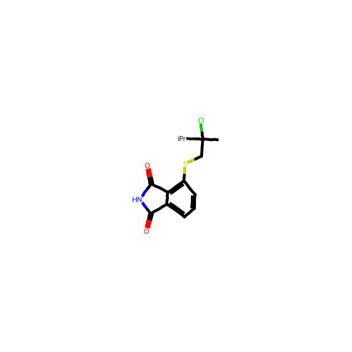 CC(C)C(C)(Cl)CSc1cccc2c1C(=O)NC2=O